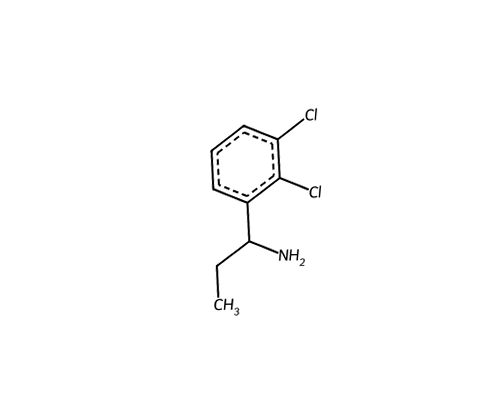 CCC(N)c1cccc(Cl)c1Cl